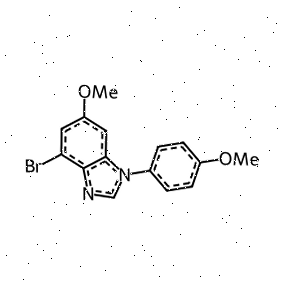 COc1ccc(-n2cnc3c(Br)cc(OC)cc32)cc1